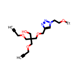 C#CCOCC(CO)(COCC#C)COCc1cn(CCOCC)nn1